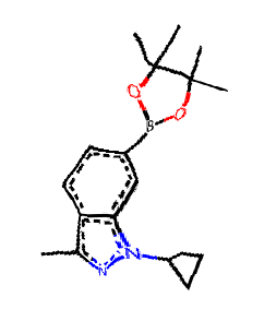 Cc1nn(C2CC2)c2cc(B3OC(C)(C)C(C)(C)O3)ccc12